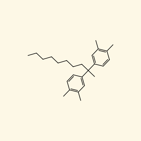 CCCCCCCCC(C)(c1ccc(C)c(C)c1)c1ccc(C)c(C)c1